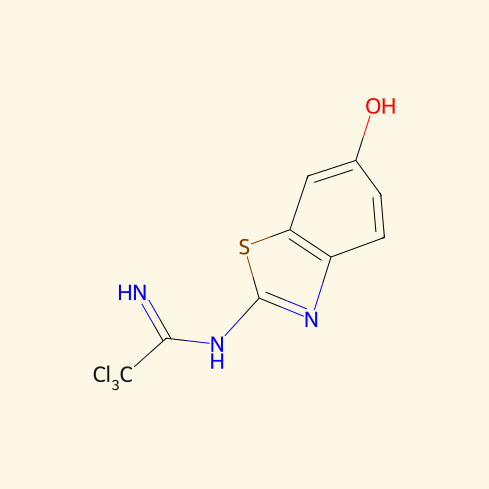 N=C(Nc1nc2ccc(O)cc2s1)C(Cl)(Cl)Cl